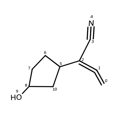 C=C=C(C#N)C1CCC(O)C1